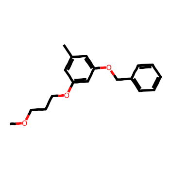 COCCCOc1cc(C)cc(OCc2ccccc2)c1